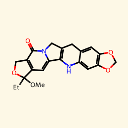 CCC1(OC)OCc2c1cc1n(c2=O)CC2=C1Nc1cc3c(cc1C2)OCO3